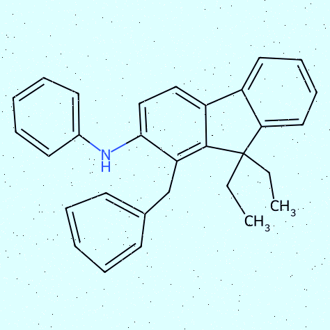 CCC1(CC)c2ccccc2-c2ccc(Nc3ccccc3)c(Cc3ccccc3)c21